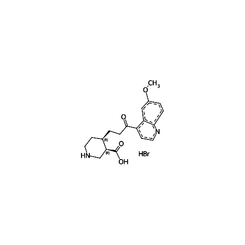 Br.COc1ccc2nccc(C(=O)CC[C@@H]3CCNC[C@@H]3C(=O)O)c2c1